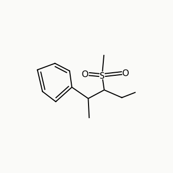 CCC(C(C)c1ccccc1)S(C)(=O)=O